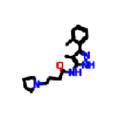 Cc1ccccc1-c1n[nH]c(NC(=O)CCCN2CCCC2)c1C